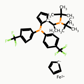 C[C@@H]([c-]1cccc1P(c1ccc(C(F)(F)F)cc1)c1ccc(C(F)(F)F)cc1)P(C(C)(C)C)C(C)(C)C.[Fe+2].c1cc[cH-]c1